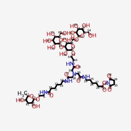 C[C@@H]1O[C@@H](OCCNC(=O)CCCCCNC(=O)CN(CC(=O)NCCCCCC(=O)ON2C(=O)CCC2=O)CC(=O)NCCO[C@H]2O[C@H](CO[C@H]3O[C@H](CO)[C@@H](O)[C@H](O)[C@@H]3O)[C@@H](O)[C@H](O[C@H]3O[C@H](CO)[C@@H](O)[C@H](O)[C@@H]3O)[C@@H]2O)[C@@H](O)C[C@@H]1O